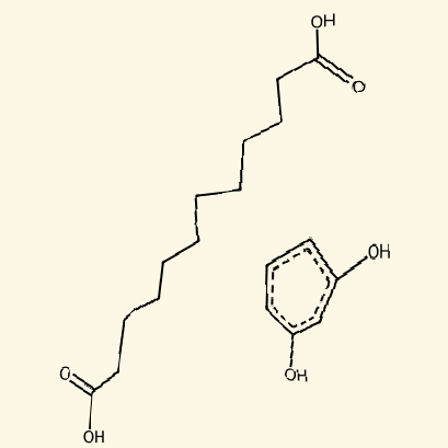 O=C(O)CCCCCCCCCCC(=O)O.Oc1cccc(O)c1